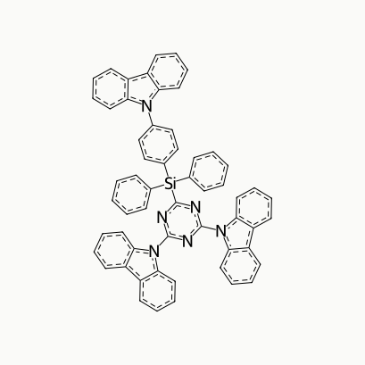 c1ccc([Si](c2ccccc2)(c2ccc(-n3c4ccccc4c4ccccc43)cc2)c2nc(-n3c4ccccc4c4ccccc43)nc(-n3c4ccccc4c4ccccc43)n2)cc1